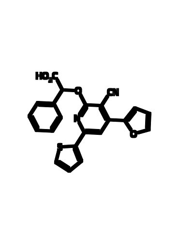 N#Cc1c(-c2ccco2)cc(-c2cccs2)nc1OC(C(=O)O)c1ccccc1